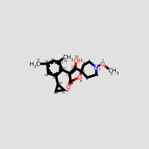 CON1CCC2(CC1)OC(=O)C(c1c(C)cc(C)cc1C1CC1)=C2O